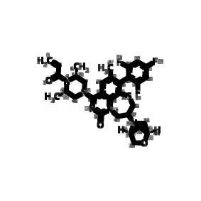 C=CC(=O)N1[C@H](C)CN(c2nc(=O)n3c4c(c(-c5c(F)cc(F)cc5F)c(C)cc24)SCC(N2C[C@@H]4C[C@H]2CO4)C3)C[C@@H]1C